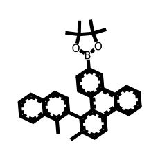 Cc1ccc2c3ccccc3c3cc(B4OC(C)(C)C(C)(C)O4)ccc3c2c1-c1ccc2ccccc2c1C